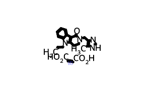 C=CCn1c2c(c3ccccc31)C(=O)N(Cc1nc[nH]c1C)CC2.O=C(O)/C=C\C(=O)O